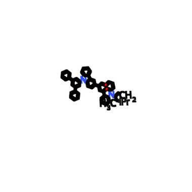 C=CC(C(C)C(C)C)N(c1ccccc1)c1ccccc1-c1cccc(-c2ccc3c(c2)c2ccccc2n3-c2cc(-c3ccccc3)cc(-c3ccccc3)c2)c1